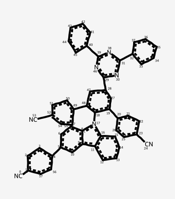 N#Cc1ccc(-c2ccc3c(c2)c2ccccc2n3-c2c(-c3ccc(C#N)cc3)cc(-c3nc(-c4ccccc4)nc(-c4ccccc4)n3)cc2-c2ccc(C#N)cc2)cc1